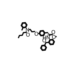 CCCCC(=O)N(CCCOc1ccc(C[C@H](Nc2ccccc2C(=O)c2ccccc2)C(=O)OC)cc1)c1ccccc1C